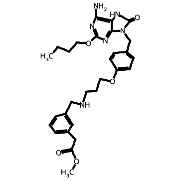 CCCCOc1nc(N)c2[nH]c(=O)n(Cc3ccc(OCCCNCc4cccc(CC(=O)OC)c4)cc3)c2n1